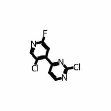 Fc1cc(-c2ccnc(Cl)n2)c(Cl)cn1